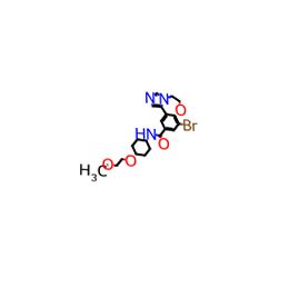 COCCOC1CCC(NC(=O)c2cc(Br)c3c(c2)-c2cncn2CCO3)CC1